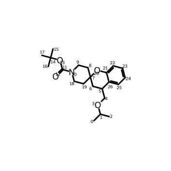 CC(C)OCC1CC2(CCN(C(=O)OC(C)(C)C)CC2)Oc2ccccc21